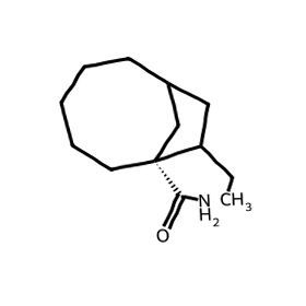 CCC1CC2CCCCC[C@@]1(C(N)=O)C2